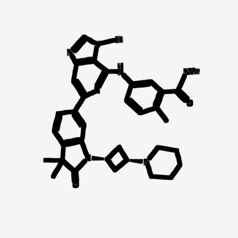 CCn1cnc2cc(-c3ccc4c(c3)N([C@H]3C[C@@H](N5CCCCC5)C3)C(=O)C4(C)C)nc(Nc3ccc(C)c(C(=O)NC)c3)c21